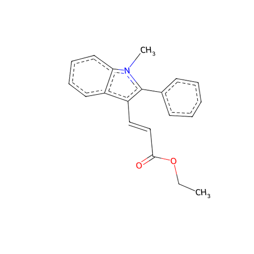 CCOC(=O)/C=C/c1c(-c2ccccc2)n(C)c2ccccc12